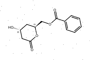 O=C1C[C@H](O)C[C@@H](COC(=O)c2ccccc2)O1